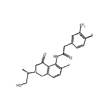 Cc1ccc2c(c1NC(=O)Cc1ccc(F)c(C(F)(F)F)c1)C(=O)CN([C@H](C)CO)C2